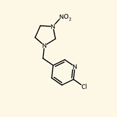 O=[N+]([O-])N1CCN(Cc2ccc(Cl)nc2)C1